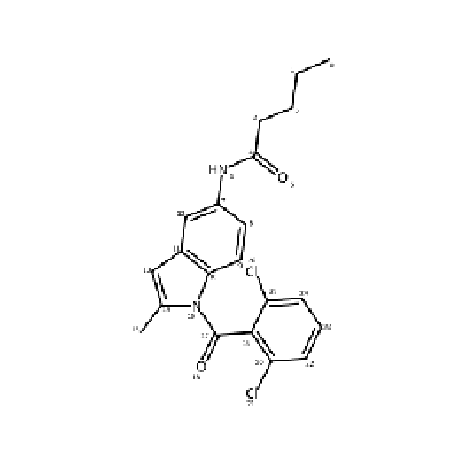 CCCCC(=O)Nc1ccc2c(c1)cc(C)n2C(=O)c1c(Cl)cccc1Cl